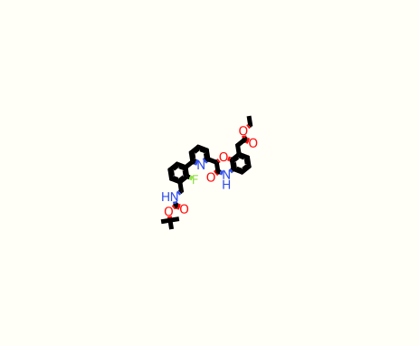 CCOC(=O)Cc1cccc2c1OC(c1cccc(-c3cccc(CNC(=O)OC(C)(C)C)c3F)n1)C(=O)N2